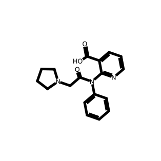 O=C(O)c1cccnc1N(C(=O)CN1CCCC1)c1ccccc1